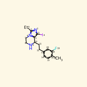 CCc1nc(I)c2n1CCNC2CCc1ccc(C)c(F)c1